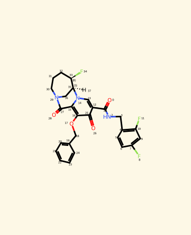 O=C(NCc1ccc(F)cc1F)c1cn2c(c(OCc3ccccc3)c1=O)C(=O)N1CCC[C@@H](F)[C@@H]2C1